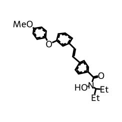 CCC(CC)N(O)C(=O)c1ccc(C=Cc2cccc(Oc3ccc(OC)cc3)c2)cc1